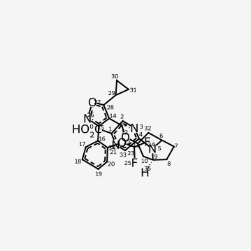 O=C(O)c1cnc(N2C3CC[C@H]2CC(OCc2c(-c4ccccc4OC(F)F)noc2C2CC2)C3)cn1